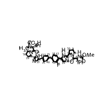 COC(=O)NC(C(=O)N1CCCC1c1ncc(-c2ccc(-c3ccc(-c4cnc([C@@H]5CCCN5C(=O)[C@H](C(C)C)N(C)C(=O)O)[nH]4)cc3)cc2F)[nH]1)C(C)C